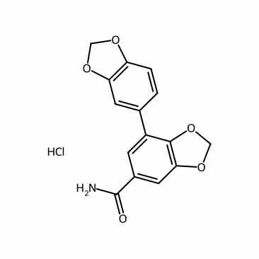 Cl.NC(=O)c1cc2c(c(-c3ccc4c(c3)OCO4)c1)OCO2